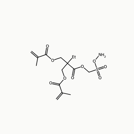 C=C(C)C(=O)OCC(CC)(COC(=O)C(=C)C)C(=O)OCS(=O)(=O)ON